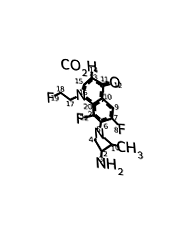 CC1C(N)CN1c1c(F)cc2c(=O)c(C(=O)O)cn(CCF)c2c1F